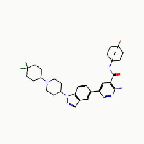 Nc1ncc(-c2ccc3c(cnn3C3CCN(C4CCC(F)(F)CC4)CC3)c2)cc1C(=O)NC12CCC(O)(CC1)CC2